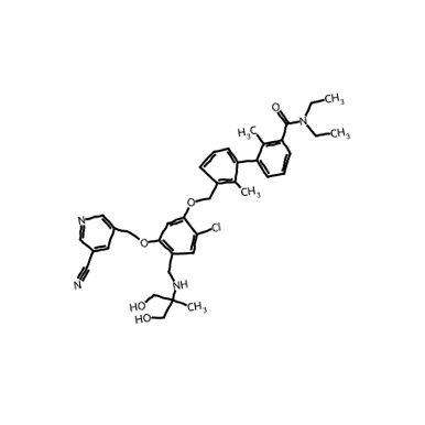 CCN(CC)C(=O)c1cccc(-c2cccc(COc3cc(OCc4cncc(C#N)c4)c(CNC(C)(CO)CO)cc3Cl)c2C)c1C